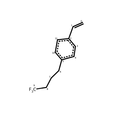 C=Cc1ccc(CCCC(F)(F)F)cc1